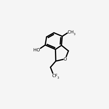 Cc1ccc(O)c2c1COC2CC(F)(F)F